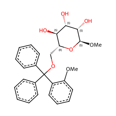 COc1ccccc1C(OC[C@H]1O[C@H](OC)[C@@H](O)[C@@H](O)[C@@H]1O)(c1ccccc1)c1ccccc1